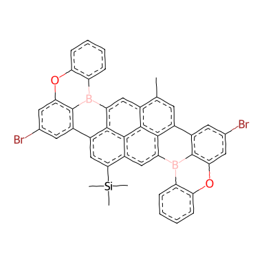 Cc1cc2c3c(cc4c([Si](C)(C)C)cc5c6c(cc1c3c46)B1c3ccccc3Oc3cc(Br)cc-5c31)B1c3ccccc3Oc3cc(Br)cc-2c31